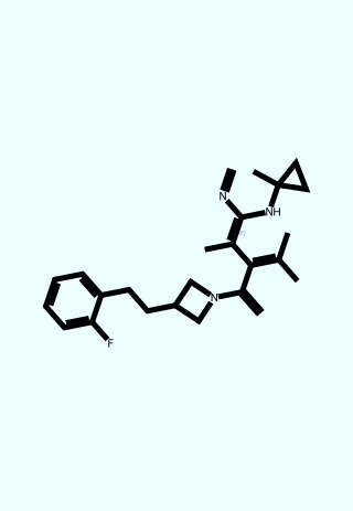 C=N/C(NC1(C)CC1)=C(\C)C(C(=C)N1CC(CCc2ccccc2F)C1)=C(C)C